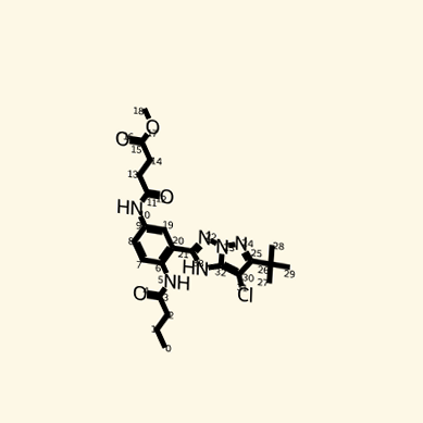 CCCC(=O)Nc1ccc(NC(=O)CCC(=O)OC)cc1-c1nn2nc(C(C)(C)C)c(Cl)c2[nH]1